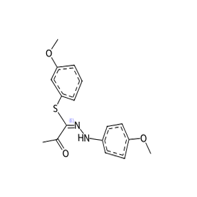 COc1ccc(N/N=C(/Sc2cccc(OC)c2)C(C)=O)cc1